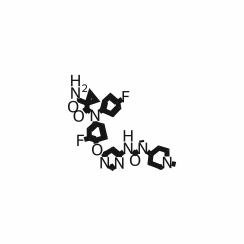 CN1CCC(N(C)C(=O)Nc2cc(Oc3ccc(N(C(=O)C4(C(N)=O)CC4)c4ccc(F)cc4)cc3F)ncn2)CC1